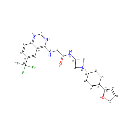 O=C(CNc1ncnc2ccc(C(F)(F)F)cc12)NC1CN([C@H]2CC[C@H]([C@H]3C=CCO3)CC2)C1